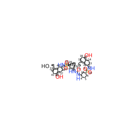 O=C(Nc1cccc(S(=O)(=O)Nc2ccc3c(O)ccc(S(=O)(=O)O)c3c2)c1)Nc1cccc(S(=O)(=O)Nc2ccc3c(O)ccc(S(=O)(=O)O)c3c2)c1